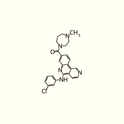 CN1CCCN(C(=O)c2ccc3c(c2)nc(Nc2cccc(Cl)c2)c2ccncc23)CC1